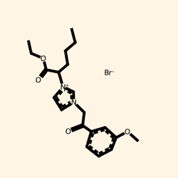 CCCCC(C(=O)OCC)[n+]1ccn(CC(=O)c2cccc(OC)c2)c1.[Br-]